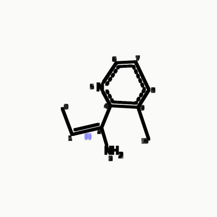 C/C=C(/N)c1ncccc1C